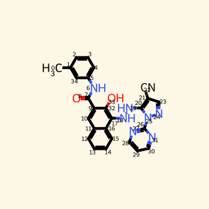 Cc1cccc(NC(=O)c2cc3ccccc3c(NNc3c(C#N)cnn3-c3ncccn3)c2O)c1